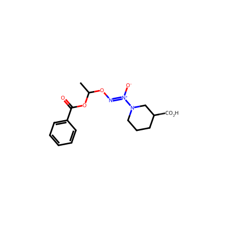 CC(O/N=[N+](\[O-])N1CCCC(C(=O)O)C1)OC(=O)c1ccccc1